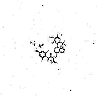 CC[C@@H](Nc1cc(F)c(C(=O)N[C@@H](Cc2ccc(-c3c(C(F)(F)F)cc(C)n(C)c3=O)c3nccn23)C(=O)O)c(F)c1)C(F)(F)F